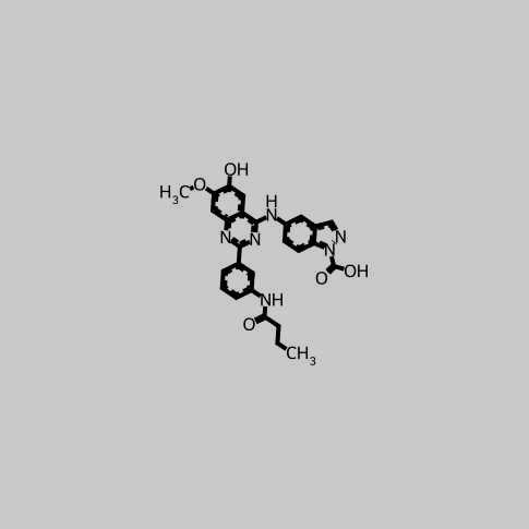 CCCC(=O)Nc1cccc(-c2nc(Nc3ccc4c(cnn4C(=O)O)c3)c3cc(O)c(OC)cc3n2)c1